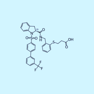 O=C(O)CCSc1ccccc1CNC(=O)[C@@H]1Cc2ccccc2N1S(=O)(=O)c1ccc(-c2cccc(C(F)(F)F)c2)cc1